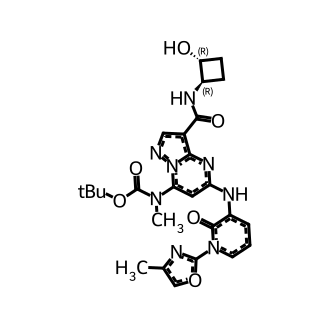 Cc1coc(-n2cccc(Nc3cc(N(C)C(=O)OC(C)(C)C)n4ncc(C(=O)N[C@@H]5CC[C@H]5O)c4n3)c2=O)n1